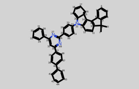 CC1(C)c2ccccc2-c2c1ccc1c2c2ccccc2n1-c1ccc(-c2nc(-c3ccccc3)cc(-c3ccc(-c4ccccc4)cc3)n2)cc1